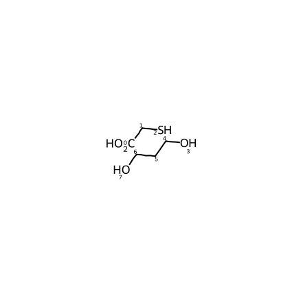 O=C(O)CS.OCCCO